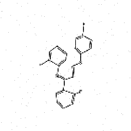 Fc1ccc(SC=CC(=Nc2ccccc2F)c2ccccc2F)cc1